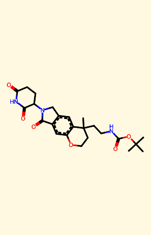 CC(C)(C)OC(=O)NCCC1(C)CCOc2cc3c(cc21)CN(C1CCC(=O)NC1=O)C3=O